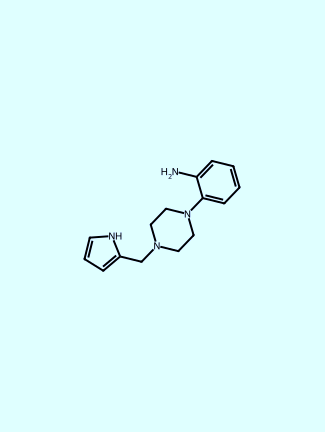 Nc1ccccc1N1CCN(Cc2ccc[nH]2)CC1